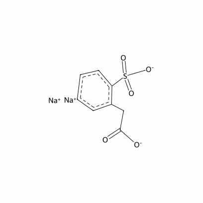 O=C([O-])Cc1ccccc1S(=O)(=O)[O-].[Na+].[Na+]